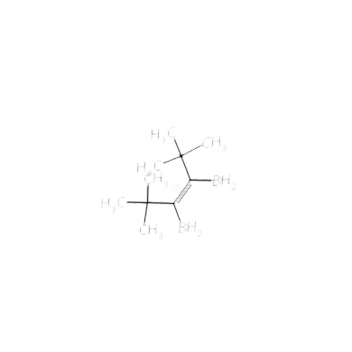 B/C(=C(\B)C(C)(C)C)C(C)(C)C